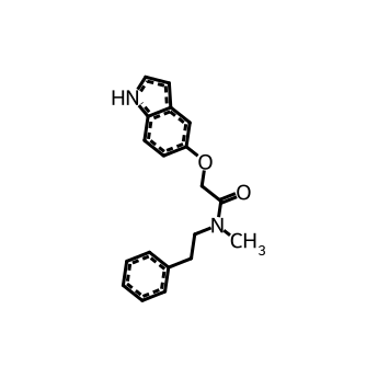 CN(CCc1ccccc1)C(=O)COc1ccc2[nH]ccc2c1